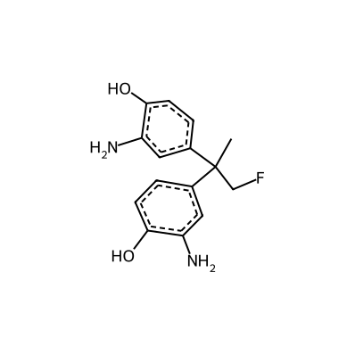 CC(CF)(c1ccc(O)c(N)c1)c1ccc(O)c(N)c1